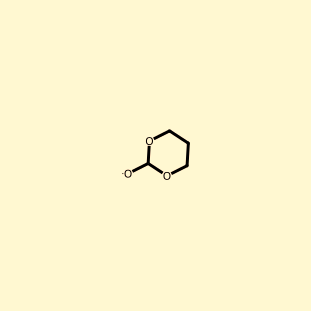 [O]C1OCCCO1